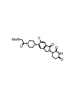 CNCC(=O)N1CCN(c2cc3c(cc2F)C(=O)N(C2CCC(=O)NC2=O)C3)CC1